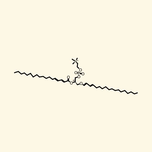 CCCCCCCCCCCCCC=CC=CC(=O)O[C@H](COC=CC=CCCCCCCCCCCCCCC)COP(=O)([O-])OCC[N+](C)(C)C